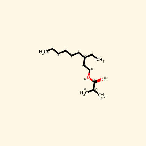 CCCCCCC(CC)CCOC(=O)C(C)C